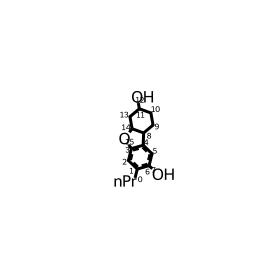 CCCc1cc2c(cc1O)C1CCC(O)CC1O2